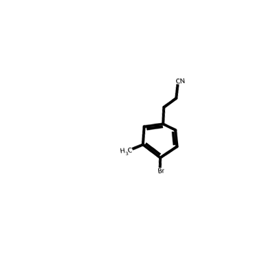 Cc1cc(CCC#N)ccc1Br